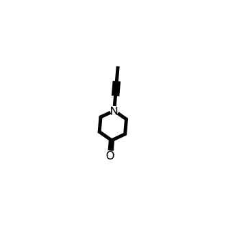 CC#CN1CCC(=O)CC1